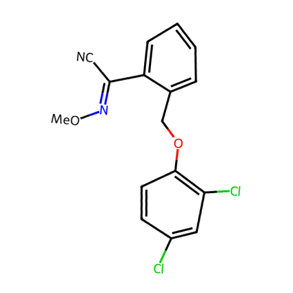 CON=C(C#N)c1ccccc1COc1ccc(Cl)cc1Cl